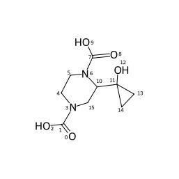 O=C(O)N1CCN(C(=O)O)C(C2(O)CC2)C1